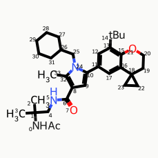 CC(=O)NC(C)(C)CNC(=O)c1cc(-c2cc(C(C)(C)C)c3c(c2)C2(CCO3)CC2)n(CC2CCCCC2)c1C